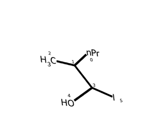 CCCC(C)C(O)I